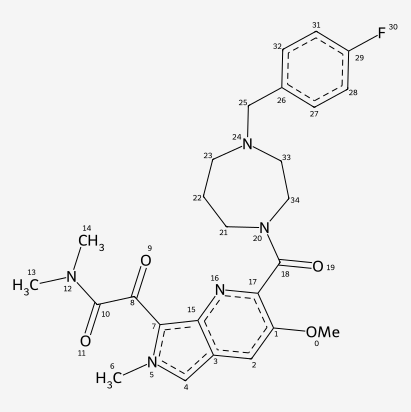 COc1cc2cn(C)c(C(=O)C(=O)N(C)C)c2nc1C(=O)N1CCCN(Cc2ccc(F)cc2)CC1